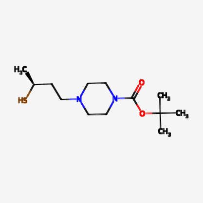 C[C@H](S)CCN1CCN(C(=O)OC(C)(C)C)CC1